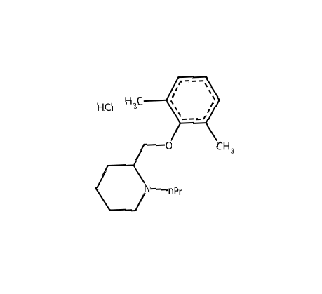 CCCN1CCCCC1COc1c(C)cccc1C.Cl